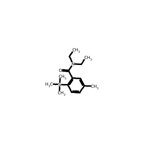 CCN(CC)C(=O)c1cc(C)ccc1[Si](C)(C)C